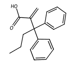 C=C(C(=O)O)C(CCC)(c1ccccc1)c1ccccc1